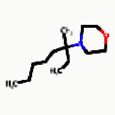 CCCCCC(C)(CC)N1CCOCC1